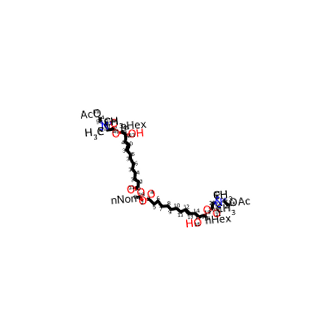 CCCCCCCCCC(OC(=O)CCCCCCCC=CCC(O)C(CCCCCC)OC(=O)C[N+](C)(C)CCOC(C)=O)OC(=O)CCCCCCCC=CCC(O)C(CCCCCC)OC(=O)C[N+](C)(C)CCOC(C)=O